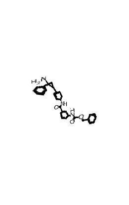 NC1(c2ccccc2)CC1c1ccc(NC(=O)c2cccc(NC(=O)OCc3ccccc3)c2)cc1